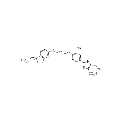 CCCc1cc(-c2nc(CO)c(C(=O)O)s2)ccc1OCCCOc1ccc2c(c1)CC[C@H]2CC(=O)O